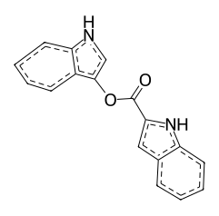 O=C(Oc1c[nH]c2ccccc12)c1cc2ccccc2[nH]1